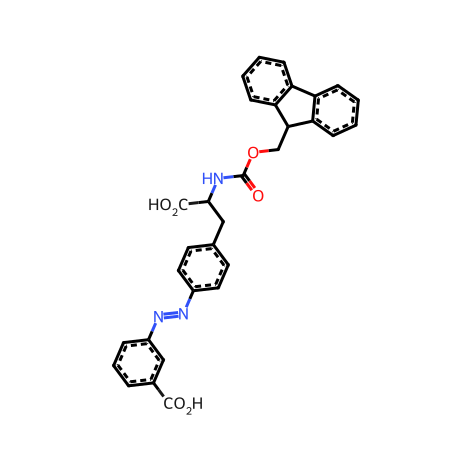 O=C(NC(Cc1ccc(N=Nc2cccc(C(=O)O)c2)cc1)C(=O)O)OCC1c2ccccc2-c2ccccc21